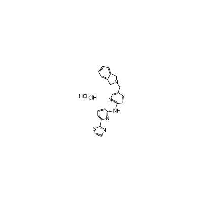 Cl.Cl.c1cc(Nc2ccc(CN3Cc4ccccc4C3)cn2)nc(-c2nccs2)c1